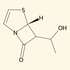 CC(O)C1C(=O)N2C=CS[C@H]12